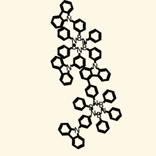 c1ccc(B2N(c3ccccc3)B(c3ccccc3)N(c3ccc(-n4c5ccccc5c5ccccc54)cc3)B(c3ccccc3)N2c2ccc(-c3cccc4c3c3ccccc3n4-c3cccc(B4N(c5ccccc5)B(c5cccc(-n6c7ccccc7c7ccccc76)c5)N(c5ccccc5)B(c5ccccc5)N4c4cccc(-n5c6ccccc6c6ccccc65)c4)c3)cc2)cc1